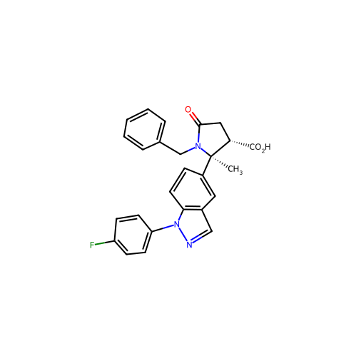 C[C@@]1(c2ccc3c(cnn3-c3ccc(F)cc3)c2)[C@@H](C(=O)O)CC(=O)N1Cc1ccccc1